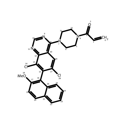 C=CC(=O)N1CCN(c2ncnc3c(Cl)c(-c4c(OC)ccc5ccccc45)c(Cl)cc23)CC1